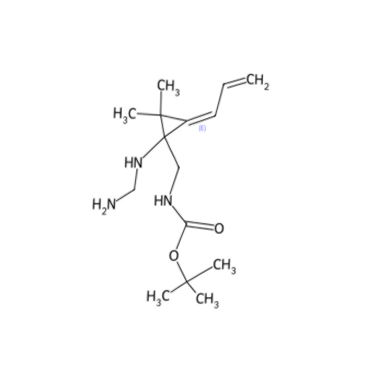 C=C/C=C1\C(C)(C)C1(CNC(=O)OC(C)(C)C)NCN